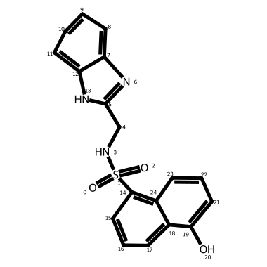 O=S(=O)(NCc1nc2ccccc2[nH]1)c1cccc2c(O)cccc12